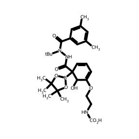 Cc1cc(C)cc(C(=O)N(NC(=O)C2(B3OC(C)(C)C(C)(C)O3)C=CC=C(OCCNC(=O)O)C2O)C(C)(C)C)c1